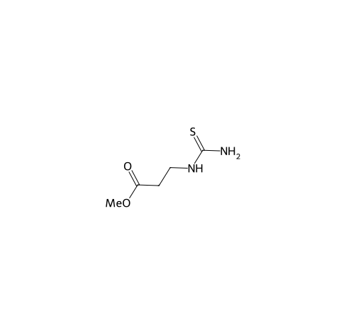 COC(=O)CCNC(N)=S